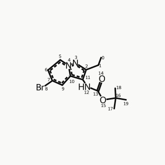 CCc1nn2ccc(Br)cc2c1NC(=O)OC(C)(C)C